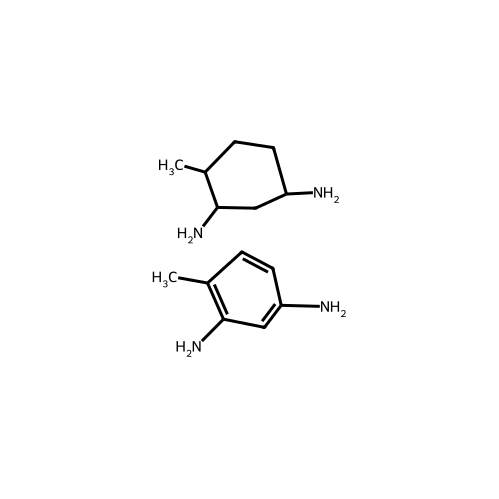 CC1CCC(N)CC1N.Cc1ccc(N)cc1N